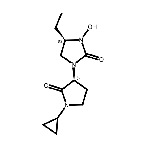 CC[C@@H]1CN([C@H]2CCN(C3CC3)C2=O)C(=O)N1O